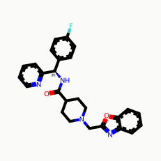 O=C(N[C@H](c1ccc(F)cc1)c1ccccn1)C1CCN(Cc2nc3ccccc3o2)CC1